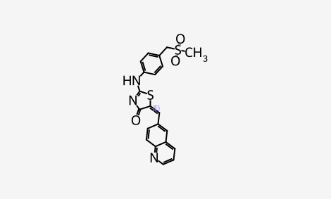 CS(=O)(=O)Cc1ccc(NC2=NC(=O)/C(=C\c3ccc4ncccc4c3)S2)cc1